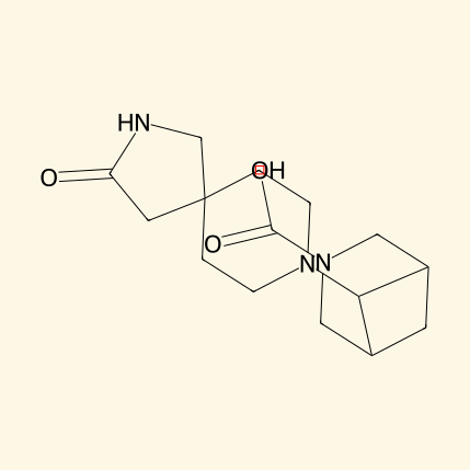 O=C1CC2(CCN(C3C4CC3CN(C(=O)O)C4)CC2)CN1